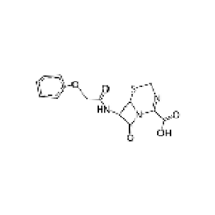 O=C(COc1ccccc1)NC1C(=O)N2C(C(=O)O)=NCSC12